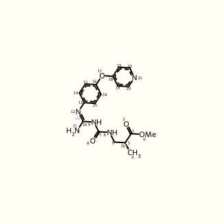 COC(=O)[C@@H](C)CNC(=O)N/C(N)=N\c1ccc(Oc2ccncc2)cc1